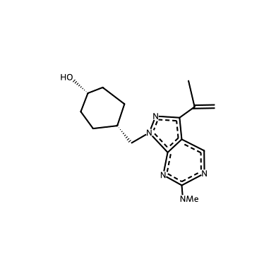 C=C(C)c1nn(C[C@H]2CC[C@@H](O)CC2)c2nc(NC)ncc12